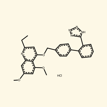 CCc1cc(OCc2ccc(-c3ccccc3-c3nnn[nH]3)cc2)c2c(OC)cc(OC)cc2n1.Cl